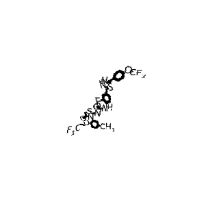 Cc1ccc(OCCC(F)(F)F)c(N2C(=O)CS/C2=N\C(=O)Nc2ccc(-c3nnc(-c4ccc(OC(F)(F)F)cc4)s3)cc2F)c1